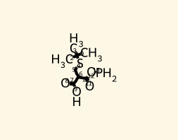 CC(C)(C)SCC(C(=O)O)C(=O)OP